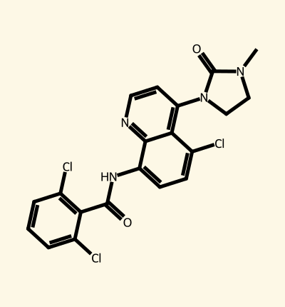 CN1CCN(c2ccnc3c(NC(=O)c4c(Cl)cccc4Cl)ccc(Cl)c23)C1=O